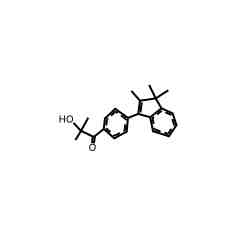 CC1=C(c2ccc(C(=O)C(C)(C)O)cc2)c2ccccc2C1(C)C